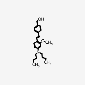 CCCCN(CCCC)c1ccc(/C=C/c2ccc(CO)cc2)c(OC)c1